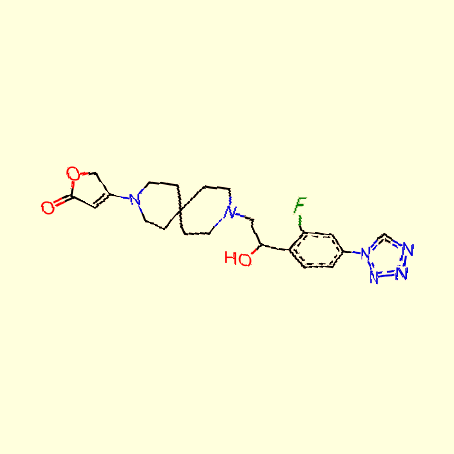 O=C1C=C(N2CCC3(CCN(CC(O)c4ccc(-n5cnnn5)cc4F)CC3)CC2)CO1